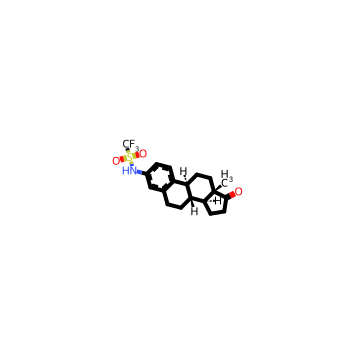 C[C@]12CC[C@@H]3c4ccc(NS(=O)(=O)C(F)(F)F)cc4CC[C@H]3[C@@H]1CCC2=O